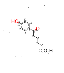 O=C(O)CCCCC(=O)c1ccc(O)cc1